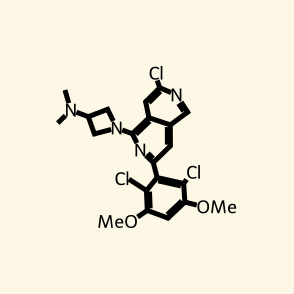 COc1cc(OC)c(Cl)c(-c2cc3cnc(Cl)cc3c(N3CC(N(C)C)C3)n2)c1Cl